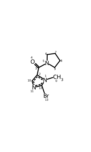 Cn1c(C(=O)N2CCCC2)cnc1Br